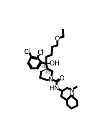 CCOCCCC[C@@](O)(c1cccc(Cl)c1Cl)[C@@H]1CCCN(C(=O)NC(CNC)CC2CCCCC2)C1